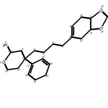 CC(C)C1CC(CCCCC2=CCC3OCOC3C2)(C2=CCCC=C2)CCO1